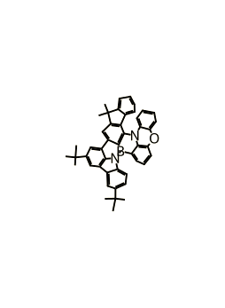 CC(C)(C)c1ccc2c(c1)c1cc(C(C)(C)C)cc3c1n2B1c2cccc4c2N(c2ccccc2O4)c2c1c-3cc1c2-c2ccccc2C1(C)C